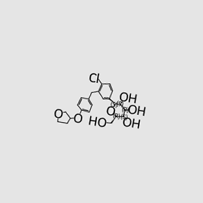 OC[C@H]1O[C@@H](c2ccc(Cl)c(Cc3ccc(OC4CCOC4)cc3)c2)[C@@H](O)[C@@H](O)[C@@H]1O